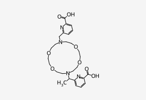 CC(c1cccc(C(=O)O)n1)N1CCOCCOCCN(Cc2cccc(C(=O)O)n2)CCOCCOCC1